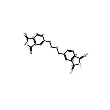 O=C1OC(=O)c2cc(CCCCc3ccc4c(c3)C(=O)OC4=O)ccc21